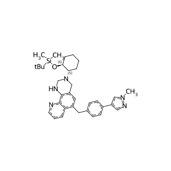 Cn1cc(-c2ccc(Cc3cc4c(c5ncccc35)NCN([C@H]3CCCC[C@@H]3O[Si](C)(C)C(C)(C)C)C4)cc2)cn1